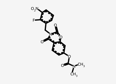 CN(C)C(=O)Oc1ccc2c(=O)n(Cc3cccc([N+](=O)[O-])c3F)c(=O)oc2c1